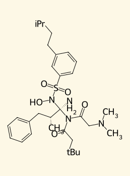 CC(C)CCc1cccc(S(=O)(=O)N(O)[C@](N)([C@H](C)Cc2ccccc2)N(C(=O)CN(C)C)C(=O)CC(C)(C)C)c1